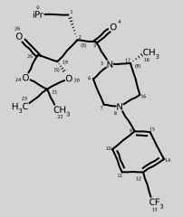 CC(C)C[C@H](C(=O)N1CCN(c2ccc(C(F)(F)F)cc2)C[C@H]1C)[C@@H]1OC(C)(C)OC1=O